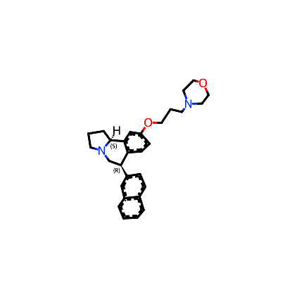 c1ccc2cc([C@H]3CN4CCC[C@H]4c4cc(OCCCN5CCOCC5)ccc43)ccc2c1